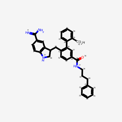 N=C(N)c1ccc2c(c1)C(Cc1ccc(C(=O)NCCCc3ccccc3)cc1-c1ccccc1C(=O)O)CN2